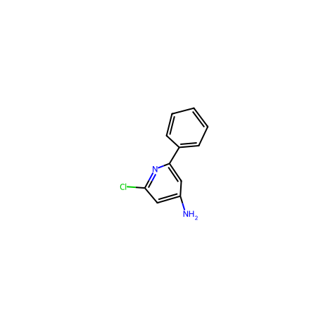 Nc1cc(Cl)nc(-c2ccccc2)c1